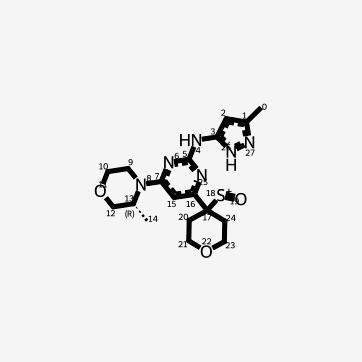 Cc1cc(Nc2nc(N3CCOC[C@H]3C)cc(C3([S+]=O)CCOCC3)n2)[nH]n1